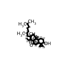 CC(C)CCC[C@@H](C)[C@H]1CC[C@H]2[C@@H]3C(=O)C=C4C5(CC5)[C@H](O)CC[C@]4(C)[C@H]3CC[C@]12C